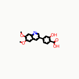 COc1cc2cc(-c3ccc(C(=O)O)c(O)c3)cnc2cc1OC